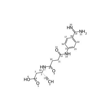 C#C[C@H](CC(=O)O)NC(=O)CCC(=O)Nc1ccc(C(=N)N)cc1